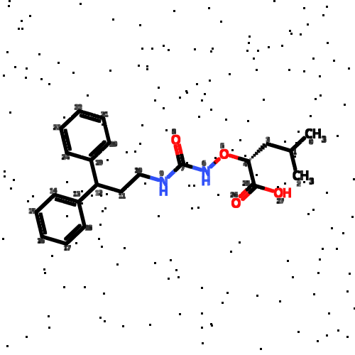 CC(C)C[C@@H](ONC(=O)NCCC(c1ccccc1)c1ccccc1)C(=O)O